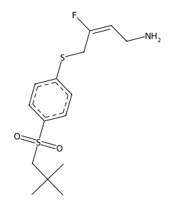 CC(C)(C)CS(=O)(=O)c1ccc(SC/C(F)=C\CN)cc1